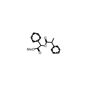 COC(=O)C(OC(=O)C(C)c1ccccc1)c1ccccc1